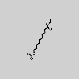 CCOC(=O)CCCCCCCCCO[N+](=O)[O-]